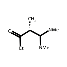 CCC(=O)[C@H](C)C(NC)NC